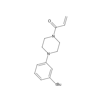 C=CC(=O)N1CCN(c2cccc(C(C)(C)C)c2)CC1